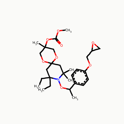 CCC1(CC)CC2(CC(C)(C)N1OC(C)c1ccc(OCC3CO3)cc1)OCC(C)(OC(=O)OC)CO2